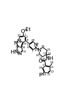 CCOc1cc(-c2ccc(N3CCC(C)(NC(=O)c4cc(F)ccc4C)CC3)nc2)c2c3cn[nH]c3nn2c1